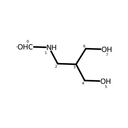 O=[C]NCC(CO)CO